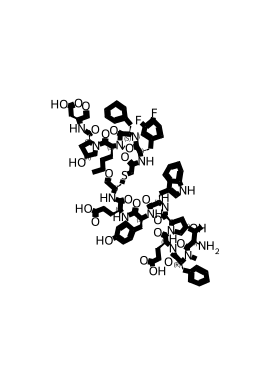 CCCC[C@@H](C(=O)N1C[C@H](O)C[C@@H]1C(=O)N[C@H](C=O)CC(=O)O)N(C)C(=O)[C@H](Cc1ccccc1)N(C)C(=O)[C@H](Cc1ccc(F)c(F)c1)NC(=O)CSC[C@@H](C=O)NC(=O)[C@H](CCC(=O)O)NC(=O)[C@H](Cc1ccc(O)cc1)NC(=O)[C@H](Cc1c[nH]c2ccccc12)NC(=O)[C@H]1C[C@@H](O)CN1C(=O)[C@H](CCC(=O)O)NC(=O)[C@@H](Cc1ccccc1)N(C)C(=O)[C@@H](N)C(C)C